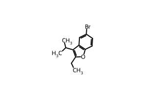 CCc1oc2ccc(Br)cc2c1C(C)C